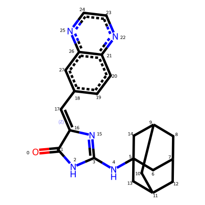 O=C1NC(NC23CC4CC(CC(C4)C2)C3)=N/C1=C\c1ccc2nccnc2c1